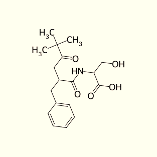 CC(C)(C)C(=O)CC(Cc1ccccc1)C(=O)NC(CO)C(=O)O